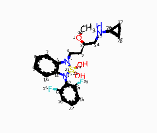 CO[C@H](CCN1c2ccccc2N(c2c(F)cccc2F)S1(O)O)CNC1CC1